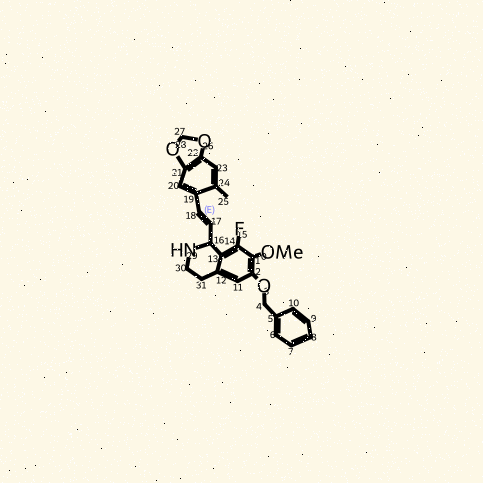 COc1c(OCc2ccccc2)cc2c(c1F)C(/C=C/c1cc3c(cc1C)OCO3)NCC2